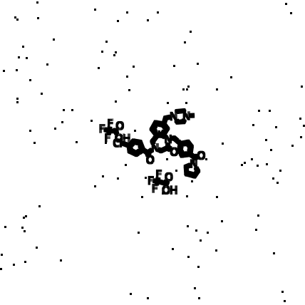 CN1CCN(Cc2ccc3c(c2)N(Cc2ccc(C(=O)N4CC=CC4)cc2)C(=O)CN(C(=O)c2ccc(Cl)cc2)C3)CC1.O=C(O)C(F)(F)F.O=C(O)C(F)(F)F